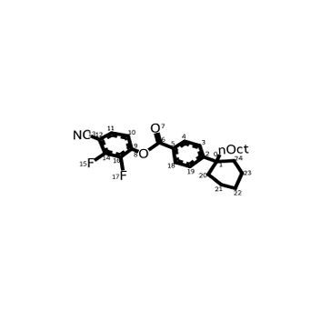 CCCCCCCCC1(c2ccc(C(=O)Oc3ccc(C#N)c(F)c3F)cc2)CCCCC1